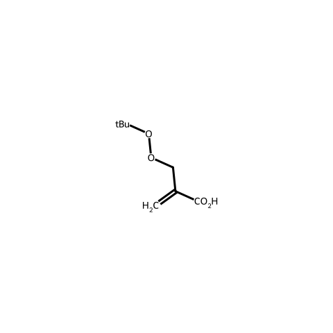 C=C(COOC(C)(C)C)C(=O)O